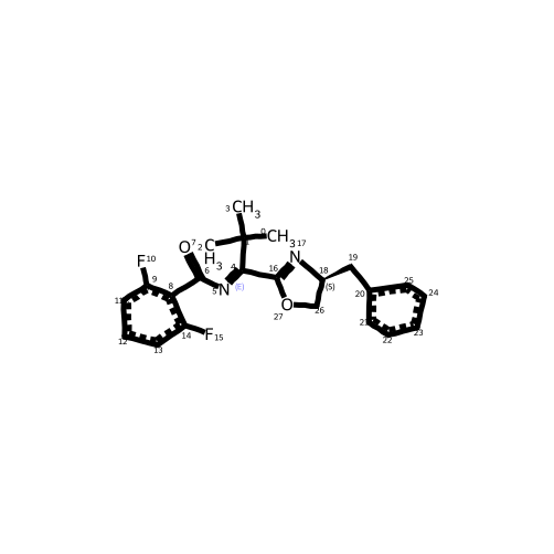 CC(C)(C)/C(=N\C(=O)c1c(F)cccc1F)C1=N[C@@H](Cc2ccccc2)CO1